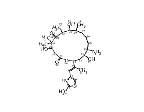 C/C(=C\c1csc(C)n1)[C@@H]1C[C@H](O)C(N)CCCC(C)[C@H](O)C(C)C(=O)C(C)(C)C(O)CC(=O)O1